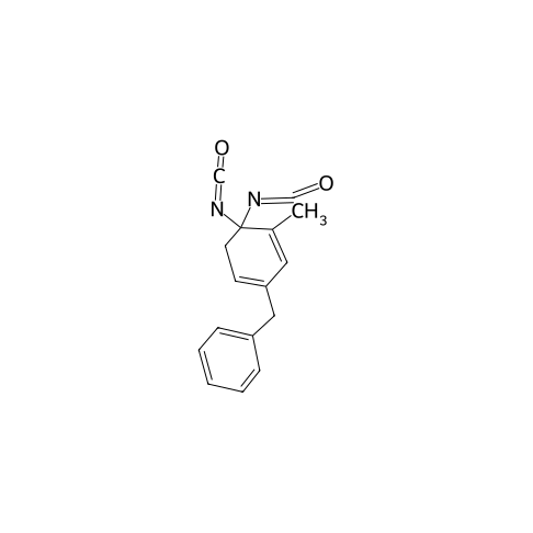 CC1=CC(Cc2ccccc2)=CCC1(N=C=O)N=C=O